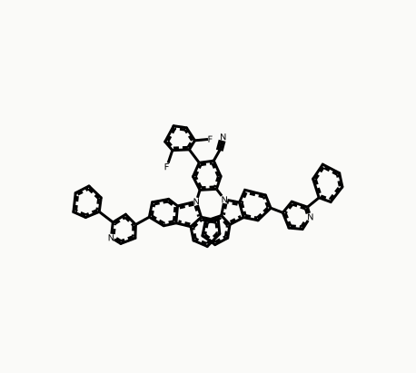 N#Cc1cc(-n2c3ccccc3c3cc(-c4ccnc(-c5ccccc5)c4)ccc32)c(-n2c3ccccc3c3cc(-c4ccnc(-c5ccccc5)c4)ccc32)cc1-c1c(F)cccc1F